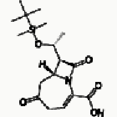 C[C@@H](O[Si](C)(C)C(C)(C)C)[C@H]1C(=O)N2C(C(=O)O)=CCC(=O)C[C@H]12